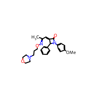 COc1ccc(N2C(=O)/C(=C/C(C)=NOCCCN3CCOCC3)C2c2ccccc2)cc1